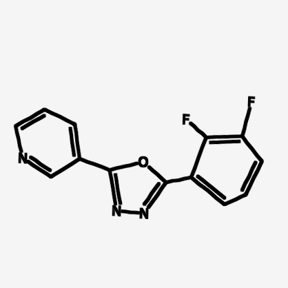 Fc1cccc(-c2nnc(-c3cccnc3)o2)c1F